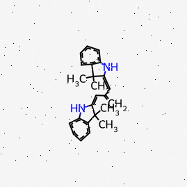 C=C(/C=C1/Nc2ccccc2C1(C)C)/C=C1/Nc2ccccc2C1(C)C